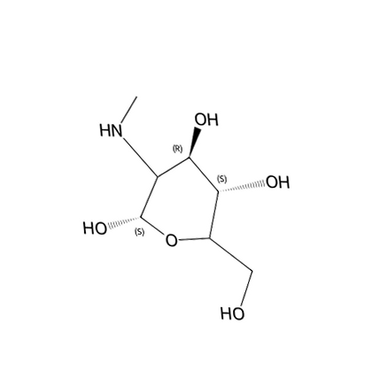 CNC1[C@@H](O)[C@H](O)C(CO)O[C@@H]1O